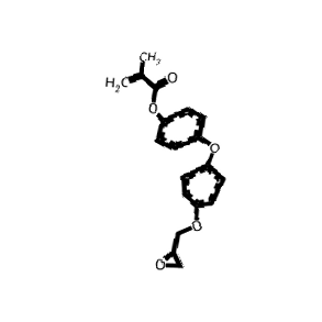 C=C(C)C(=O)Oc1ccc(Oc2ccc(OCC3CO3)cc2)cc1